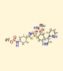 CC(C)OC(=O)NC1CCC(c2ncc(-c3ccc(/C(C=N)=C4\C=CC=CN4)cc3S(=O)(=O)NC(C)(C)C)s2)CC1